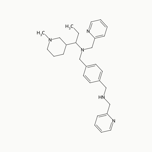 CCC(C1CCCN(C)C1)N(Cc1ccc(CNCc2ccccn2)cc1)Cc1ccccn1